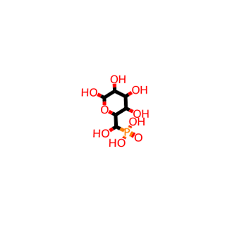 O=P(O)(O)C(O)C1OC(O)C(O)C(O)C1O